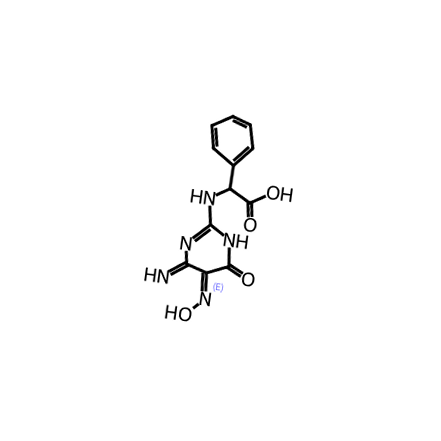 N=C1N=C(NC(C(=O)O)c2ccccc2)NC(=O)/C1=N/O